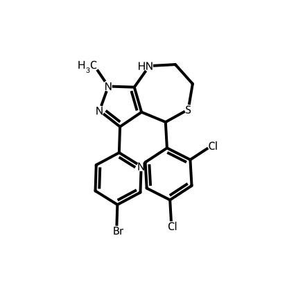 Cn1nc(-c2ccc(Br)cn2)c2c1NCCSC2c1ccc(Cl)cc1Cl